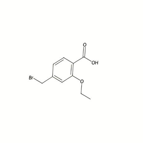 CCOc1cc(CBr)ccc1C(=O)O